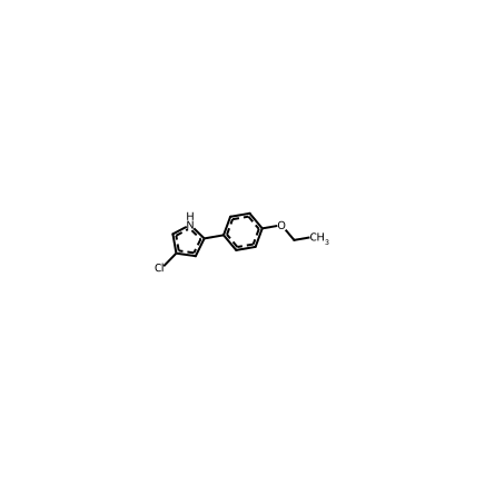 CCOc1ccc(-c2cc(Cl)c[nH]2)cc1